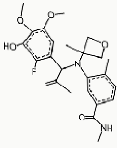 C=C(C)C(c1cc(OC)c(OC)c(O)c1F)N(c1cc(C(=O)NC)ccc1C)C1(C)COC1